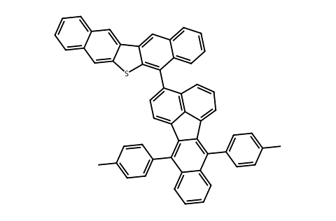 Cc1ccc(-c2c3c(c(-c4ccc(C)cc4)c4ccccc24)-c2ccc(-c4c5ccccc5cc5c4sc4cc6ccccc6cc45)c4cccc-3c24)cc1